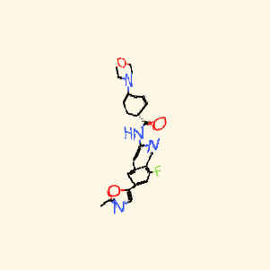 Cc1ncc(-c2cc(F)c3cnc(NC(=O)[C@H]4CC[C@H](N5CCOCC5)CC4)cc3c2)o1